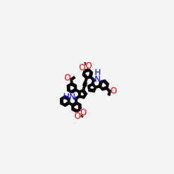 CC(=O)c1ccc2c(c1)C1C=CCC1C(c1cc3c(cc1C#CC1=CCC4C(c5cc6c(cc5-c5ccccc5)OCO6)Nc5ccc(C(C)=O)cc5C14)OCO3)N2